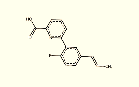 CC=Cc1ccc(F)c(-c2cccc(C(=O)O)n2)c1